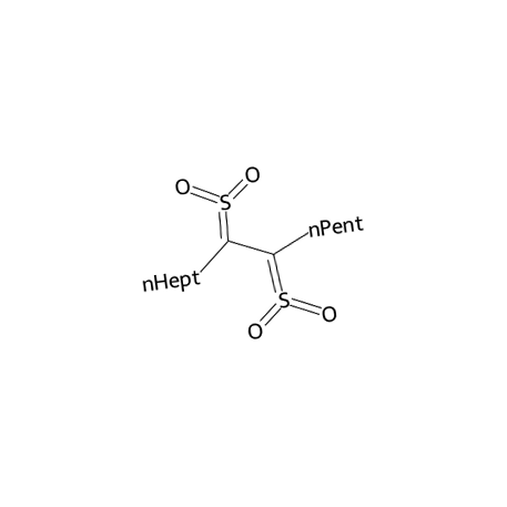 CCCCCCCC(C(CCCCC)=S(=O)=O)=S(=O)=O